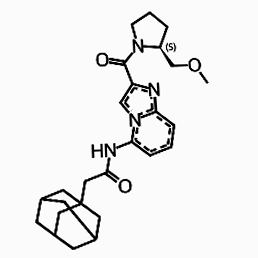 COC[C@@H]1CCCN1C(=O)c1cn2c(NC(=O)CC34CC5CC(CC(C5)C3)C4)cccc2n1